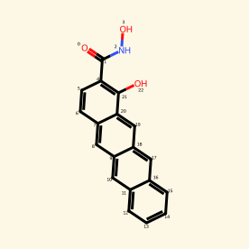 O=C(NO)c1ccc2cc3cc4ccccc4cc3cc2c1O